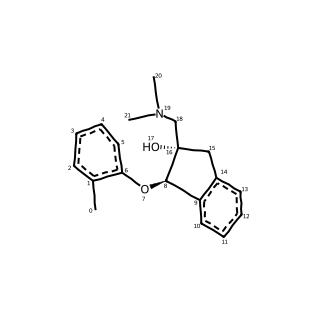 Cc1ccccc1O[C@@H]1c2ccccc2C[C@]1(O)CN(C)C